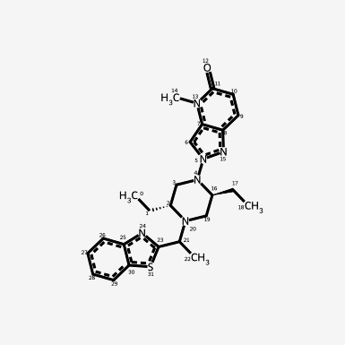 CC[C@@H]1CN(n2cc3c(ccc(=O)n3C)n2)[C@@H](CC)CN1C(C)c1nc2ccccc2s1